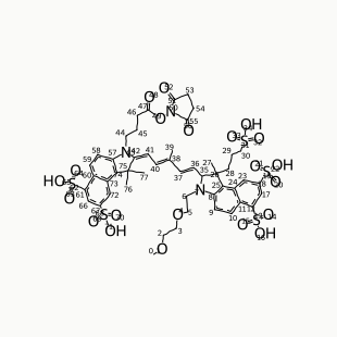 COCCOCCN1c2ccc3c(S(=O)(=O)O)cc(S(=O)(=O)O)cc3c2C(C)(CCCS(=O)(=O)O)C1/C=C/C(C)=C/C=C1/N(CCCC(=O)ON2C(=O)CCC2=O)c2ccc3c(S(=O)(=O)O)cc(S(=O)(=O)O)cc3c2C1(C)C